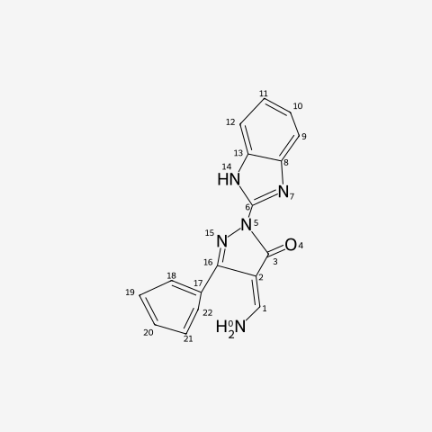 NC=C1C(=O)N(c2nc3ccccc3[nH]2)N=C1c1ccccc1